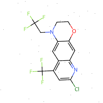 FC(F)(F)CN1CCOc2cc3nc(Cl)cc(C(F)(F)F)c3cc21